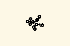 c1ccc(-c2ccc(N(c3ccc(C4(c5ccccc5)c5ccccc5-c5ccccc54)cc3)c3cc(-c4nc5ccccc5o4)cc4c3oc3ccc5ccccc5c34)cc2)cc1